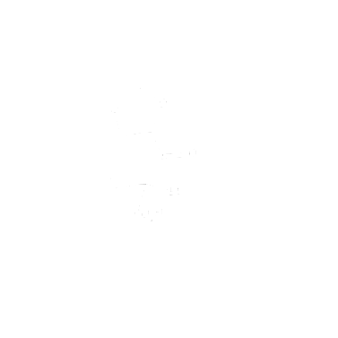 CCC1(C(=O)O)CCC2OCOC2C1=O